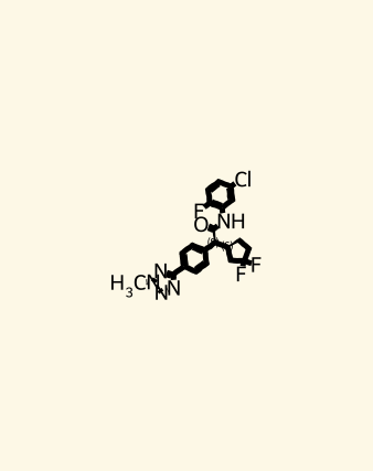 Cn1nnc(-c2ccc([C@@H](C(=O)Nc3cc(Cl)ccc3F)[C@H]3CCC(F)(F)C3)cc2)n1